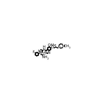 COc1cc2c(NC3=C[N+](CC(N)=O)(c4cccc(F)c4)N=C3)ncnc2cc1OCCCN1CCCN(C)CC1